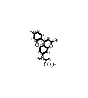 C[C@H](C(=O)O)N(C)c1ccc2c(-c3ccc(F)cc3Cl)cc(=O)oc2c1